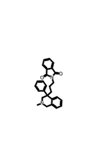 CN1Cc2ccccc2C(CCCN2C(=O)c3ccccc3C2=O)(c2ccccc2)C1